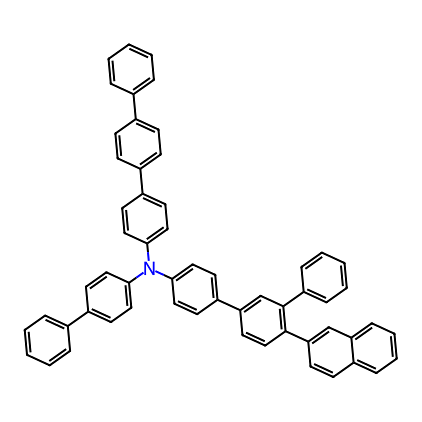 c1ccc(-c2ccc(-c3ccc(N(c4ccc(-c5ccccc5)cc4)c4ccc(-c5ccc(-c6ccc7ccccc7c6)c(-c6ccccc6)c5)cc4)cc3)cc2)cc1